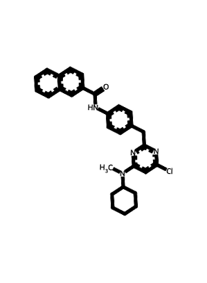 CN(c1[c]c(Cl)nc(Cc2ccc(NC(=O)c3ccc4ccccc4c3)cc2)n1)C1CCCCC1